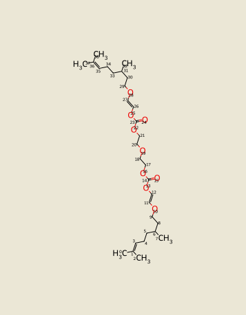 CC(C)=CCCC(C)CCO/C=C/OC(=O)OCCOCCOC(=O)O/C=C/OCCC(C)CCC=C(C)C